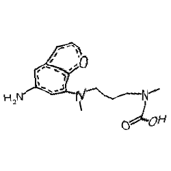 CN(CCCN(C)c1cc(N)cc2ccoc12)C(=O)O